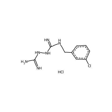 Cl.N=C(N)NNC(=N)NCc1cccc(Cl)c1